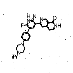 CC(C)N1CCN(c2ccc(-c3cc(-c4cc5cc[nH]c(=O)c5cn4)c(N)nc3F)cc2)CC1